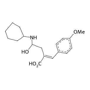 COc1ccc(C=C(CC(O)NC2CCCCC2)C(=O)O)cc1